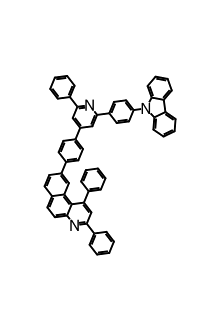 c1ccc(-c2cc(-c3ccc(-c4ccc5ccc6nc(-c7ccccc7)cc(-c7ccccc7)c6c5c4)cc3)cc(-c3ccc(-n4c5ccccc5c5ccccc54)cc3)n2)cc1